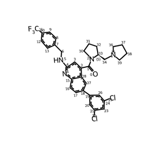 O=C(c1cc(NCc2ccc(C(F)(F)F)cc2)nc2ccc(-c3cc(Cl)cc(Cl)c3)cc12)N1CCC[C@H]1CN1CCCC1